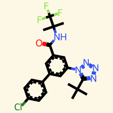 CC(C)(C)c1nnnn1-c1cc(C(=O)NC(C)(C)C(F)(F)F)cc(-c2ccc(Cl)cc2)c1